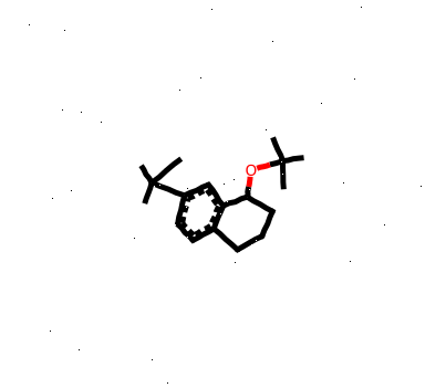 CC(C)(C)OC1CCCc2ccc(C(C)(C)C)cc21